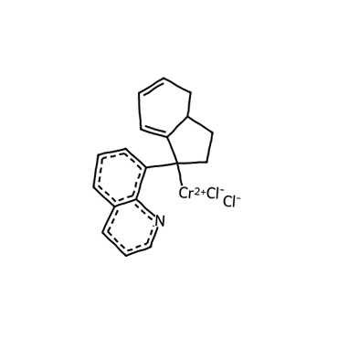 [Cl-].[Cl-].[Cr+2][C]1(c2cccc3cccnc23)CCC2CC=CC=C21